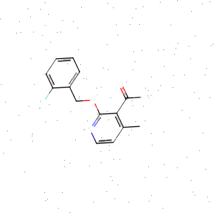 COC(=O)c1c(C)ccnc1OCc1ccccc1F